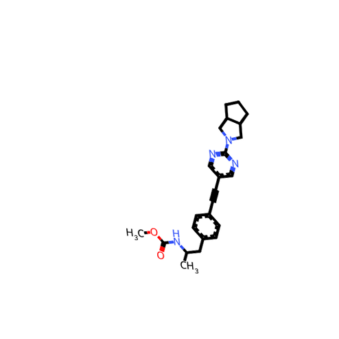 COC(=O)NC(C)Cc1ccc(C#Cc2cnc(N3CC4CCCC4C3)nc2)cc1